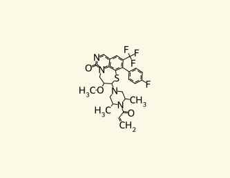 C=CC(=O)N1C(C)CN(C2Sc3c(-c4ccc(F)cc4)c(C(F)(F)F)cc4cnc(=O)n(c34)CC2OC)CC1C